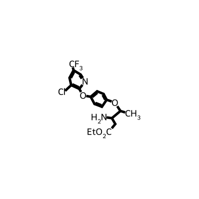 CCOC(=O)CC(N)C(C)Oc1ccc(Oc2ncc(C(F)(F)F)cc2Cl)cc1